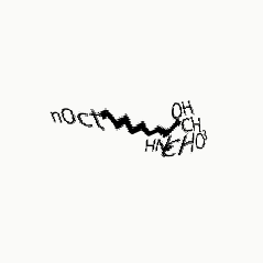 CCCCCCCCCCCCCCCC(N[C]=O)C(C)O